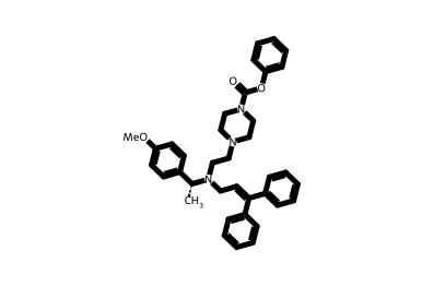 COc1ccc([C@@H](C)N(CC=C(c2ccccc2)c2ccccc2)CCN2CCN(C(=O)Oc3ccccc3)CC2)cc1